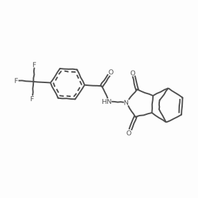 O=C(NN1C(=O)C2C3C=CC(CC3)C2C1=O)c1ccc(C(F)(F)F)cc1